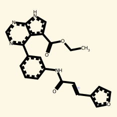 CCOC(=O)c1c[nH]c2ncnc(-c3cccc(NC(=O)/C=C/c4ccoc4)c3)c12